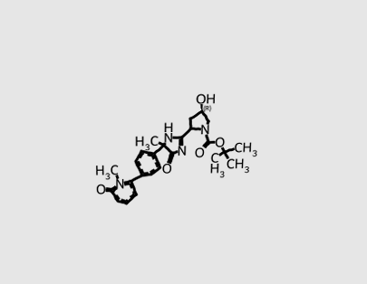 Cn1c(-c2ccc(C3(C)NC(C4C[C@@H](O)CN4C(=O)OC(C)(C)C)=NC3=O)cc2)cccc1=O